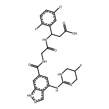 O=C(O)CC(NC(=O)CNC(=O)c1cc(NC2=NCC(F)CN2)c2cn[nH]c2c1)c1cc(Cl)ccc1F